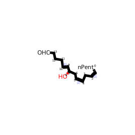 CCCCC/C=C\C/C=C\CC(O)/C=C/CCCC=O